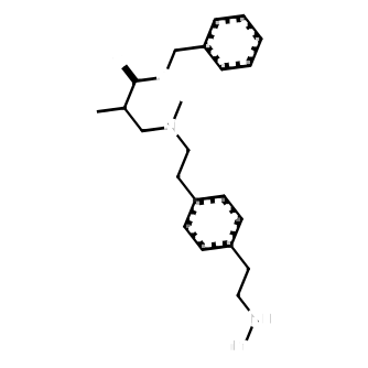 CC(C)NCCc1ccc(CCN(C)CC(C)C(=O)OCc2ccccc2)cc1